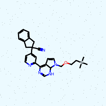 C[Si](C)(C)CCOCN1C=CC2=C(c3cc(C4(C#N)Cc5ccccc5C4)ccn3)N=CNC21